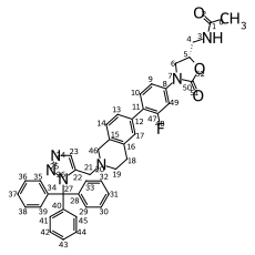 CC(=O)NC[C@H]1CN(c2ccc(-c3ccc4c(c3)CCN(Cc3cnnn3C(c3ccccc3)(c3ccccc3)c3ccccc3)C4)c(F)c2)C(=O)O1